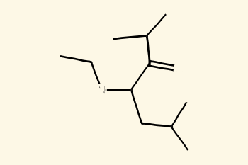 CCNC(CC(C)C)C(=O)C(C)C